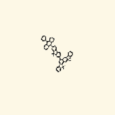 CC1(C)c2cc(-c3cc4c(c5cc6oc7ccccc7c6cc35)C(C)(C)c3ccccc3-4)ccc2-c2ccc(-c3c4ccccc4c(-c4ccccc4)c4ccccc34)cc21